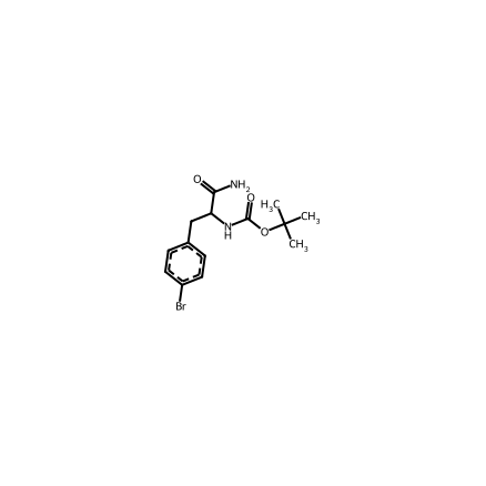 CC(C)(C)OC(=O)NC(Cc1ccc(Br)cc1)C(N)=O